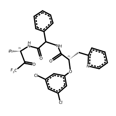 CC(C)[C@H](NC(=O)C(NC(=O)[C@H](Cc1ccccn1)Oc1cc(Cl)cc(Cl)c1)c1ccccc1)C(=O)C(F)(F)F